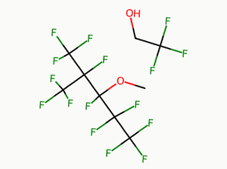 COC(F)(C(F)(F)C(F)(F)F)C(F)(C(F)(F)F)C(F)(F)F.OCC(F)(F)F